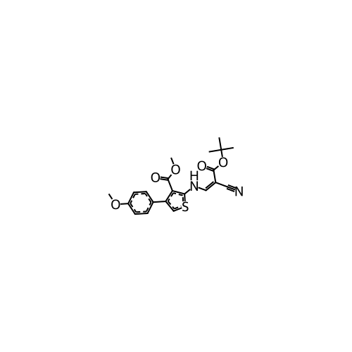 COC(=O)c1c(-c2ccc(OC)cc2)csc1NC=C(C#N)C(=O)OC(C)(C)C